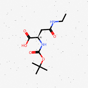 CCNC(=O)C[C@@H](NC(=O)OC(C)(C)C)C(=O)O